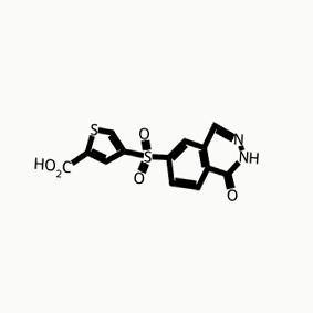 O=C(O)c1cc(S(=O)(=O)c2ccc3c(=O)[nH]ncc3c2)cs1